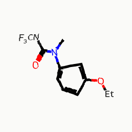 CCOc1cccc(N(C)C(=O)NC(F)(F)F)c1